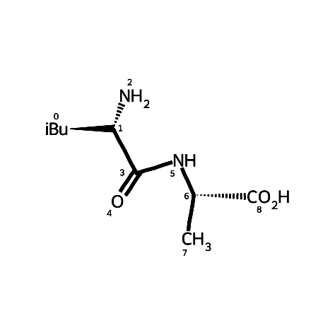 CC[C@H](C)[C@H](N)C(=O)N[C@@H](C)C(=O)O